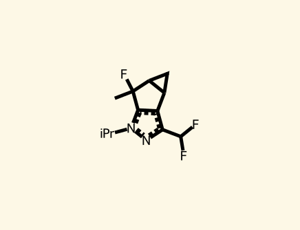 CC(C)n1nc(C(F)F)c2c1C(C)(F)C1CC21